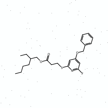 CCCCC(CC)COC(=O)CCSc1cc(OCc2ccccc2)cc(F)n1